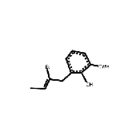 C/C=C(\CC)Cc1cccc(OC)c1O